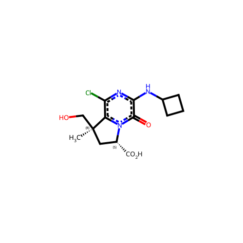 C[C@@]1(CO)C[C@@H](C(=O)O)n2c1c(Cl)nc(NC1CCC1)c2=O